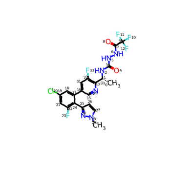 C[C@@H](NC(=O)NNC(=O)C(F)(F)F)c1ncc(-c2cc(Cl)cc(F)c2-c2ccn(C)n2)cc1F